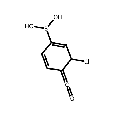 O=C=C1C=CC(B(O)O)=CC1Cl